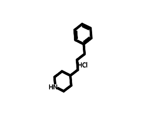 Cl.c1ccc(CCCC2CCNCC2)cc1